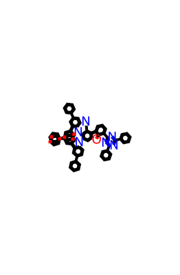 N#Cc1c(-n2c3ccc(-c4ccccc4)cc3c3cc(-c4ccccc4)ccc32)c(-n2c3ccc(-c4ccccc4)cc3c3cc(-c4ccccc4)ccc32)cc2oc3c(-c4nc(-c5ccccc5)nc(-c5ccccc5)n4)cccc3c12